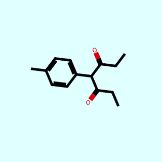 CCC(=O)C(C(=O)CC)c1ccc(C)cc1